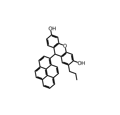 CCCc1cc2c(cc1O)Oc1cc(O)ccc1C2c1ccc2ccc3cccc4ccc1c2c34